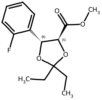 CCC1(CC)O[C@H](C(=O)OC)[C@@H](c2ccccc2F)O1